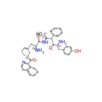 N[C@@H](CC1=CCC[C@H](C(=O)c2nccc3ccccc23)C1)C(=O)N[C@H](C(=O)O)C(C(=O)[C@@H](N)Cc1ccc(O)cc1)c1ccccc1